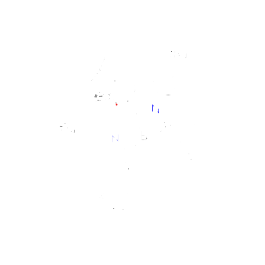 Cc1ccc(C(C)(C)C)cc1N1c2cc(-c3ccccc3)ccc2B2c3cc4c(cc3N(c3ccc(C(C)(C)C)cc3-c3ccc5c(c3)C(C)(C)CC5(C)C)c3cc(C(C)(C)C)cc1c32)C(C)(C)CCC4(C)C